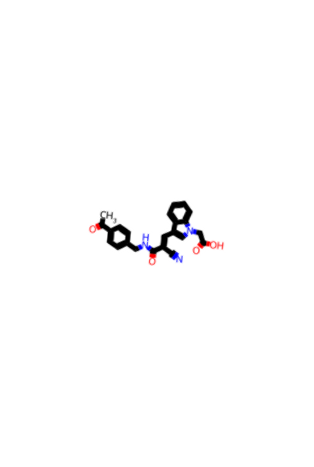 CC(=O)c1ccc(CNC(=O)/C(C#N)=C/c2cn(CC(=O)O)c3ccccc23)cc1